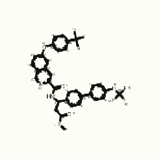 COC(=O)CC(NC(=O)c1cc2cc(Oc3ccc(C(C)(C)C)cc3)ccc2cn1)c1ccc(-c2ccc(OC(F)(F)F)cc2)cc1